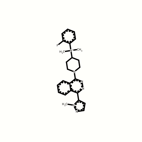 Cn1nccc1-c1nnc(N2CCC([N+](C)(C)c3ccccc3F)CC2)c2ccccc12